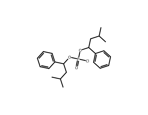 CC(C)CC(OP(=O)(Cl)OC(CC(C)C)c1ccccc1)c1ccccc1